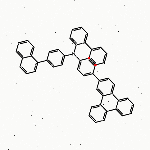 c1ccc(-c2ccccc2N(c2ccc(-c3ccc4c5ccccc5c5ccccc5c4c3)cc2)c2ccc(-c3cccc4ccccc34)cc2)cc1